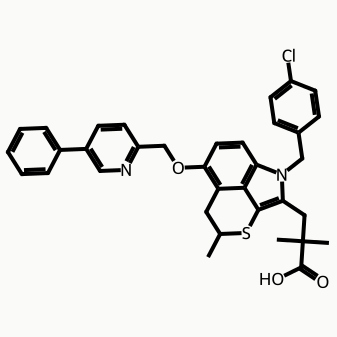 CC1Cc2c(OCc3ccc(-c4ccccc4)cn3)ccc3c2c(c(CC(C)(C)C(=O)O)n3Cc2ccc(Cl)cc2)S1